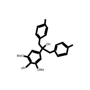 CCCc1c(OC)cc(C(O)(Cc2ccc(C)cc2)Cc2ccc(C)cc2)cc1OC